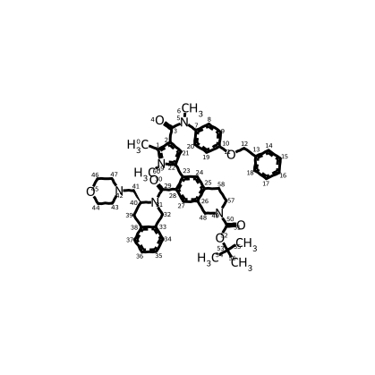 Cc1c(C(=O)N(C)c2ccc(OCc3ccccc3)cc2)cc(-c2cc3c(cc2C(=O)N2Cc4ccccc4C[C@H]2CN2CCOCC2)CN(C(=O)OC(C)(C)C)CC3)n1C